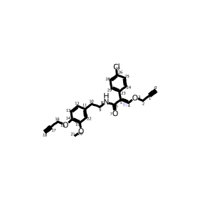 C#CCO/C=C(/C(=O)NCCc1ccc(OCC#C)c(OC)c1)c1ccc(Cl)cc1